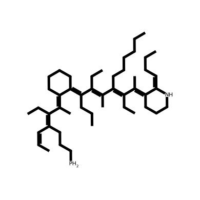 C\C=C/C(CCCP)=C(CC)/C(C)=C1\CCCC\C1=C(CCC)/C(CC)=C(C)/C(CCCCCC)=C(CC)/C(C)=C1\CCCN\C1=C\CCC